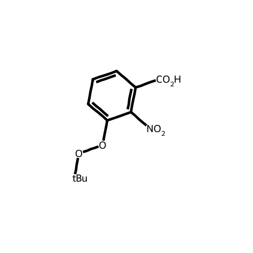 CC(C)(C)OOc1cccc(C(=O)O)c1[N+](=O)[O-]